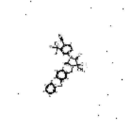 CC1(C)C(=O)N(c2ccc(C#N)c(C(F)(F)F)c2)C(=O)N1Cc1cccc(Oc2ccccc2)c1